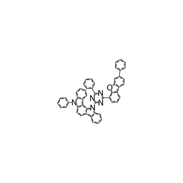 c1ccc(-c2ccc3c(c2)oc2c(-c4nc(-c5ccccc5)nc(-n5c6ccccc6c6ccc7c(c8ccccc8n7-c7ccccc7)c65)n4)cccc23)cc1